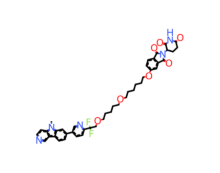 Cn1c2ccncc2c2ccc(-c3ccc(C(F)(F)COCCCCCOCCCCCCOc4ccc5c(c4)C(=O)N(C4CCC(=O)NC4=O)C5=O)nc3)cc21